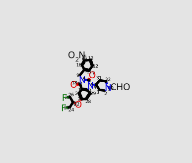 O=CN1CCC(n2c(=O)n(Cc3cccc([N+](=O)[O-])c3)c(=O)c3cc(OC(CF)CF)ccc32)CC1